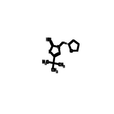 CC(C)(C)c1cn(C[C@@H]2CCCO2)c(=N)s1